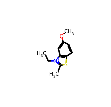 CC[n+]1c(C)sc2ccc(OC)cc21